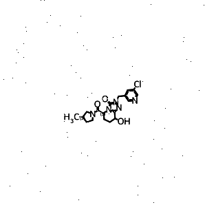 C[C@H]1CCN(C(=O)[C@@H]2CCC(O)c3nn(Cc4cncc(Cl)c4)c(=O)n32)C1